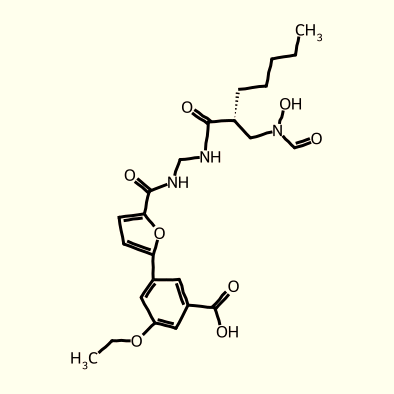 CCCCC[C@H](CN(O)C=O)C(=O)NCNC(=O)c1ccc(-c2cc(OCC)cc(C(=O)O)c2)o1